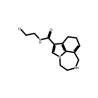 O=C(NCCCl)c1cn2c3c1CCC=C3CNCC2